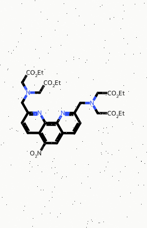 CCOC(=O)CN(CC(=O)OCC)Cc1ccc2cc([N+](=O)[O-])c3ccc(CN(CC(=O)OCC)CC(=O)OCC)nc3c2n1